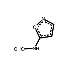 O=CNc1ccno1